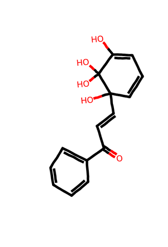 O=C(C=CC1(O)C=CC=C(O)C1(O)O)c1ccccc1